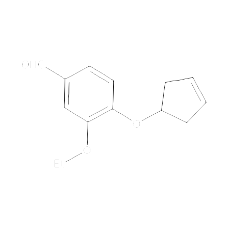 CCOc1cc(C=O)ccc1OC1CC=CC1